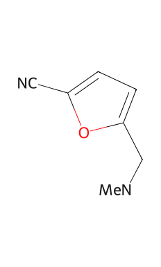 CNCc1ccc(C#N)o1